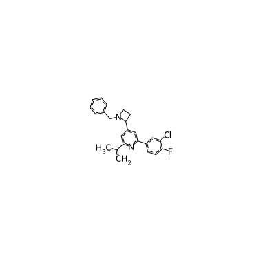 C=C(C)c1cc(C2CCN2Cc2ccccc2)cc(-c2ccc(F)c(Cl)c2)n1